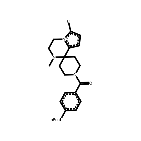 CCCCCc1ccc(C(=O)N2CCC3(CC2)c2ccc(Cl)n2CCN3C)cc1